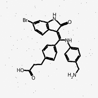 NCc1ccc(N/C(=C2\C(=O)Nc3cc(Br)ccc32)c2ccc(CCC(=O)O)cc2)cc1